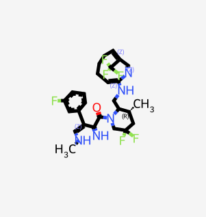 CN/C=C(\C(=N)C(=O)N1CC(F)(F)C[C@@H](C)C1CNC1=C/CCC/C=C(C(F)(F)F)/C=N\1)c1cccc(F)c1